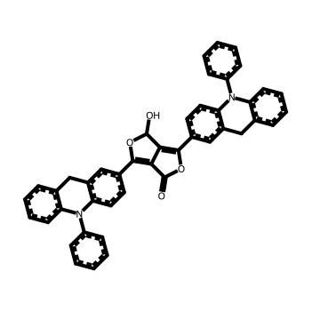 O=C1OC(c2ccc3c(c2)Cc2ccccc2N3c2ccccc2)=C2C1=C(c1ccc3c(c1)Cc1ccccc1N3c1ccccc1)OC2O